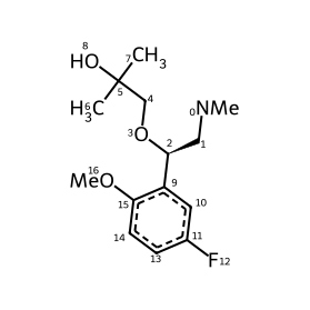 CNC[C@H](OCC(C)(C)O)c1cc(F)ccc1OC